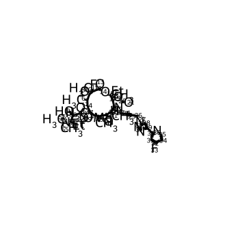 CCO[C@@H](O[C@@H]1[C@@H](C)C(=O)[C@](C)(F)C(=O)O[C@H](CC)[C@@]2(C)OC(=O)N(CC#CCn3cc(-c4cc(F)ccn4)nn3)[C@@H]2[C@@H](C)C(=O)[C@H](C)C[C@@]1(C)OC)C(O)C(CC)N(C)C